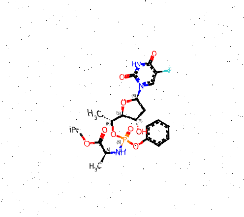 CC(C)OC(=O)[C@H](C)N[P@@](=O)(Oc1ccccc1)O[C@H](C)[C@H]1O[C@@H](n2cc(F)c(=O)[nH]c2=O)C[C@@H]1O